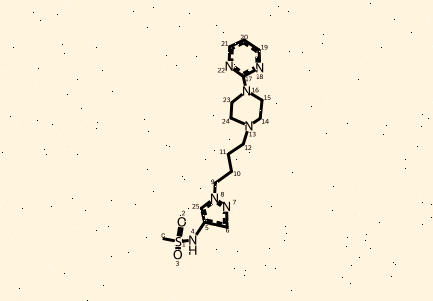 CS(=O)(=O)Nc1cnn(CCCCN2CCN(c3ncccn3)CC2)c1